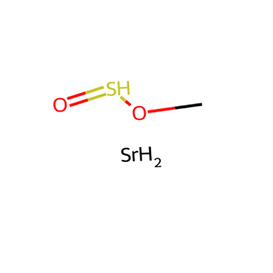 CO[SH]=O.[SrH2]